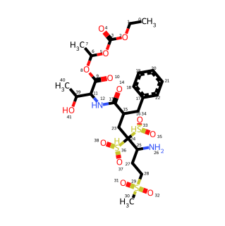 CCOC(=O)OC(C)OC(=O)C(NC(=O)C(Cc1ccccc1)CC(C(N)CCS(C)(=O)=O)([SH](=O)=O)[SH](=O)=O)C(C)O